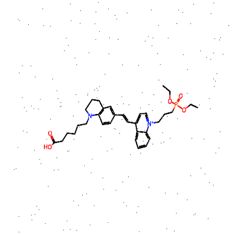 CCOP(=O)(CCC[n+]1ccc(C=Cc2ccc3c(c2)CCCN3CCCCCC(=O)O)c2ccccc21)OCC